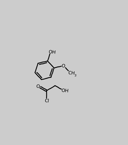 COc1ccccc1O.O=C(Cl)CO